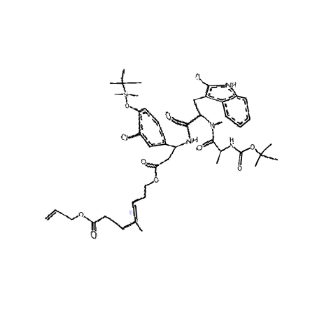 C=CCOC(=O)CC/C(C)=C/CCOC(=O)CC(NC(=O)C(Cc1c(Cl)[nH]c2ccccc12)N(C)C(=O)C(C)NC(=O)OC(C)(C)C)c1ccc(O[Si](C)(C)C(C)(C)C)c(Cl)c1